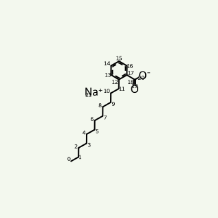 CCCCCCCCCCCCc1ccccc1C(=O)[O-].[Na+]